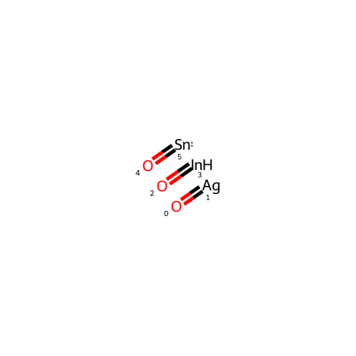 [O]=[Ag].[O]=[InH].[O]=[Sn]